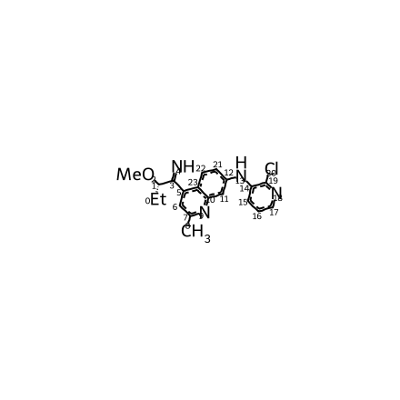 CC[C@H](OC)C(=N)c1cc(C)nc2cc(Nc3cccnc3Cl)ccc12